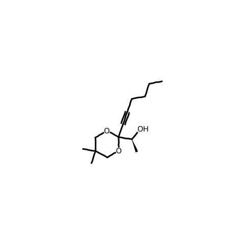 CCCCC#CC1([C@H](C)O)OCC(C)(C)CO1